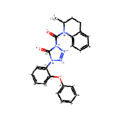 CC1CCc2ccccc2N1C(=O)n1nnn(-c2ccccc2Oc2ccccc2)c1=O